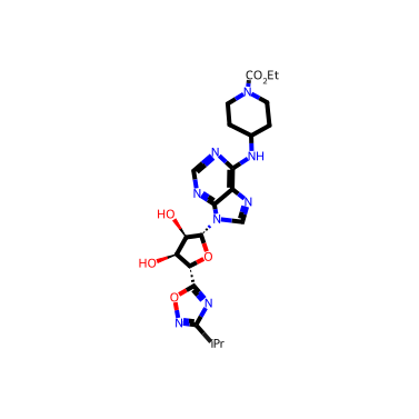 CCOC(=O)N1CCC(Nc2ncnc3c2ncn3[C@@H]2O[C@H](c3nc(C(C)C)no3)[C@@H](O)[C@H]2O)CC1